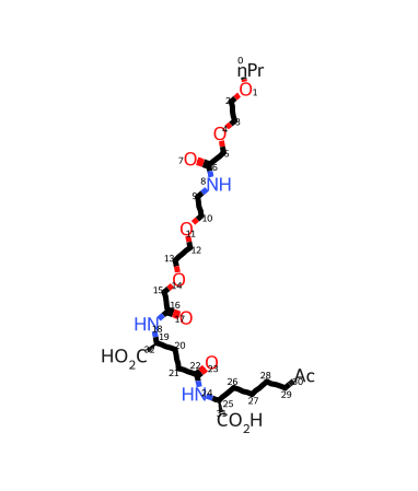 CCCOCCOCC(=O)NCCOCCOCC(=O)N[C@@H](CCC(=O)N[C@@H](CCCCC(C)=O)C(=O)O)C(=O)O